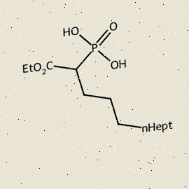 CCCCCCCCCCC(C(=O)OCC)P(=O)(O)O